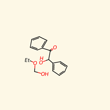 CCOCO.O=C(c1ccccc1)C(O)c1ccccc1